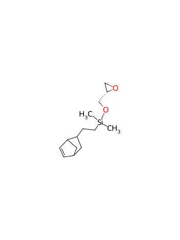 C[Si](C)(CCC1CC2C=CC1C2)OC[C@@H]1CO1